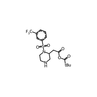 CC(C)(C)C(=O)OC(=O)CC1CNCCN1S(=O)(=O)c1cccc(C(F)(F)F)c1